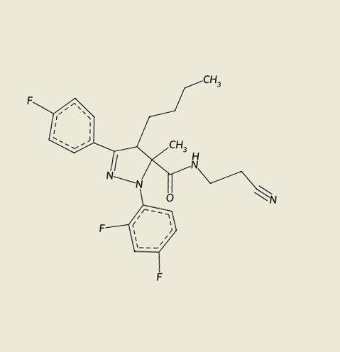 CCCCC1C(c2ccc(F)cc2)=NN(c2ccc(F)cc2F)C1(C)C(=O)NCCC#N